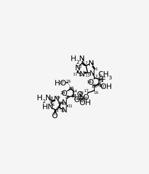 C[C@@]1(F)C(n2cnc3c(N)ncnc32)O[C@H](CCOP(=O)(O)O[C@@H]2C[C@@H](CO)OC2n2cnc3c(=O)[nH]c(N)nc32)[C@H]1O